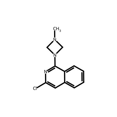 CN1CN(c2nc(Cl)cc3ccccc23)C1